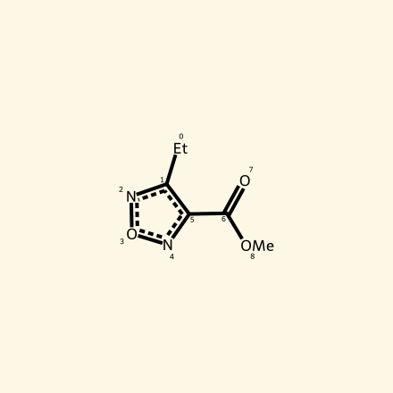 CCc1nonc1C(=O)OC